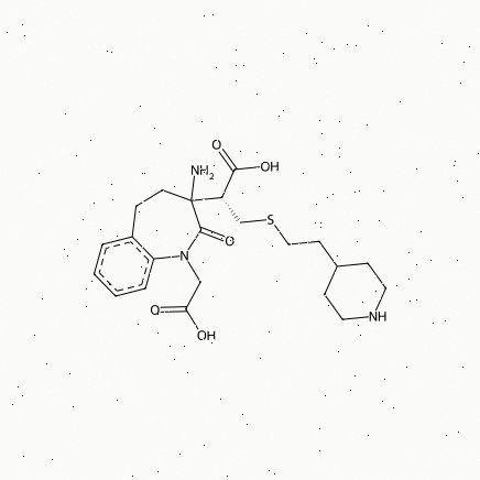 NC1([C@@H](CSCCC2CCNCC2)C(=O)O)CCc2ccccc2N(CC(=O)O)C1=O